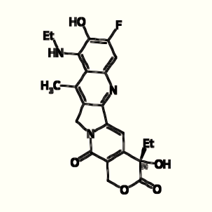 CCNc1c(O)c(F)cc2nc3c(c(C)c12)Cn1c-3cc2c(c1=O)COC(=O)[C@]2(O)CC